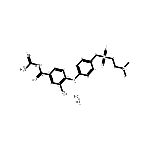 CN(C)CCS(=O)(=O)Cc1ccc(Oc2ccc(C(=O)NC(=N)N)cc2C(F)(F)F)cc1.Cl.Cl